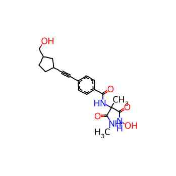 CNC(=O)C(C)(NC(=O)c1ccc(C#CC2CCC(CO)C2)cc1)C(=O)NO